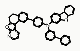 C1=CC2Oc3cc(N(c4ccc(-c5ccc6c(c5)-c5c(oc7ncccc57)CC6)cc4)c4cccc(-c5ccccc5)c4)ccc3C2C=C1